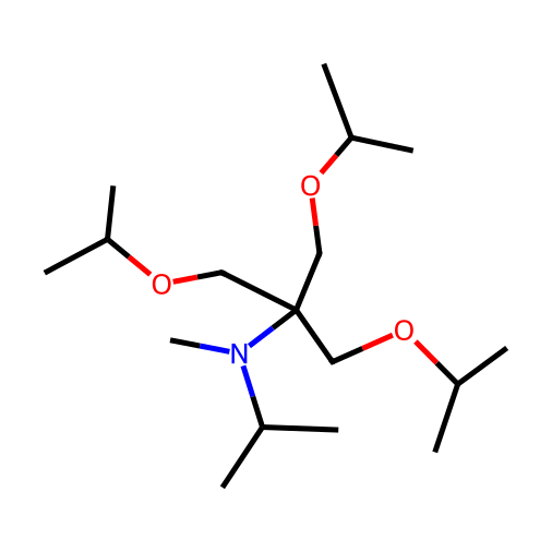 CC(C)OCC(COC(C)C)(COC(C)C)N(C)C(C)C